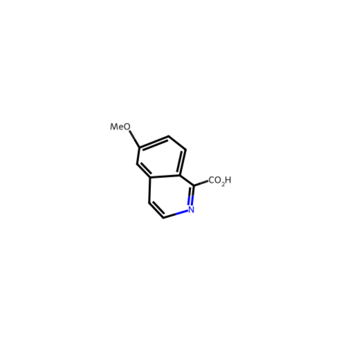 COc1ccc2c(C(=O)O)nccc2c1